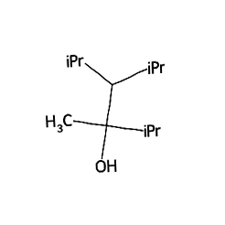 CC(C)C(C(C)C)C(C)(O)C(C)C